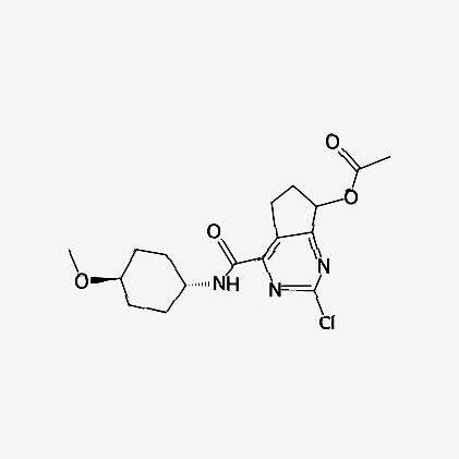 CO[C@H]1CC[C@H](NC(=O)c2nc(Cl)nc3c2CCC3OC(C)=O)CC1